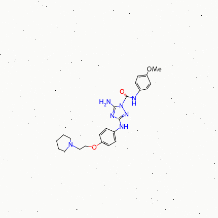 COc1ccc(NC(=O)n2nc(Nc3ccc(OCCN4CCCCC4)cc3)nc2N)cc1